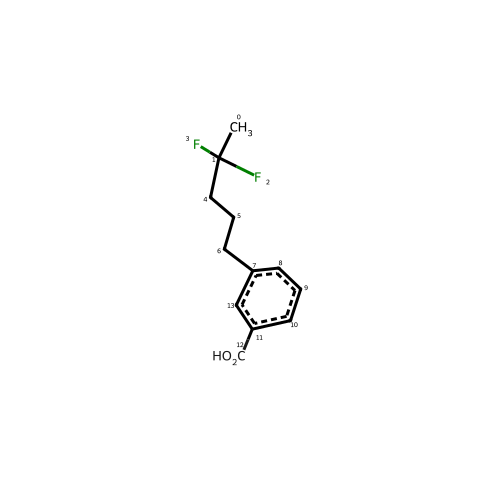 CC(F)(F)CCCc1cccc(C(=O)O)c1